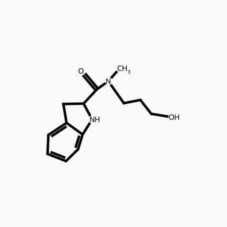 CN(CCCO)C(=O)C1Cc2ccccc2N1